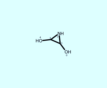 OC1NC1O